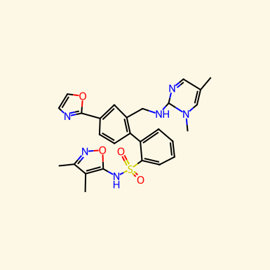 CC1=CN(C)C(NCc2cc(-c3ncco3)ccc2-c2ccccc2S(=O)(=O)Nc2onc(C)c2C)N=C1